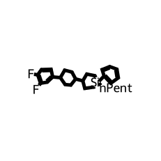 CCCCC[Si]1(c2ccccc2)CCC(C2CCC(c3ccc(F)c(F)c3)CC2)CC1